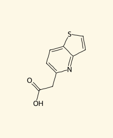 O=C(O)Cc1ccc2sccc2n1